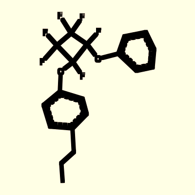 CCCc1ccc(OC2(F)C(F)(F)C(F)(F)C2(F)Oc2ccccc2)cc1